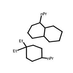 CCCC1CCC(CC)(CC)CC1.CCCC1CCCC2CCCCC12